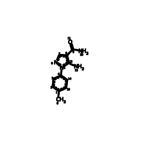 Cc1ccc(-n2ncc(C(N)=O)c2N)cc1